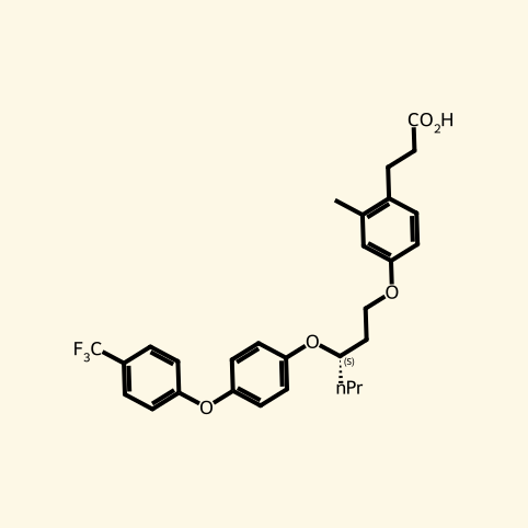 CCC[C@@H](CCOc1ccc(CCC(=O)O)c(C)c1)Oc1ccc(Oc2ccc(C(F)(F)F)cc2)cc1